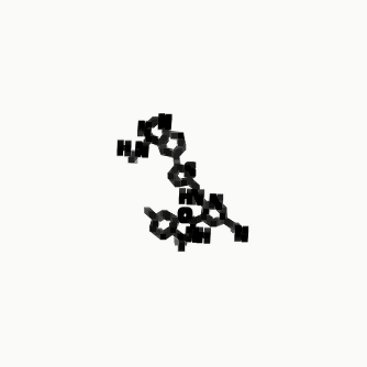 Cc1ccc([C@H](C)NC(=O)c2cc(C#N)cnc2NCc2ccc(-c3ccc4ncnc(N)c4c3)s2)cc1